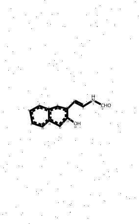 O=CNC=Cc1cc2ccccc2cc1O